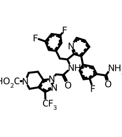 NC(=O)c1cc(-c2cccnc2C(Cc2cc(F)cc(F)c2)NC(=O)Cn2nc(C(F)(F)F)c3c2CCN(C(=O)O)C3)ccc1F